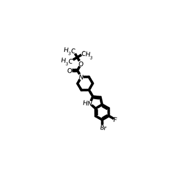 CC(C)(C)OC(=O)N1CCC(c2cc3cc(F)c(Br)cc3[nH]2)CC1